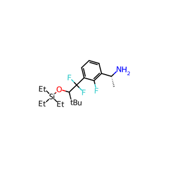 CC[Si](CC)(CC)OC(C(C)(C)C)C(F)(F)c1cccc([C@@H](C)N)c1F